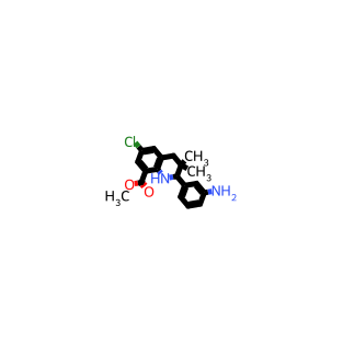 COC(=O)c1cc(Cl)cc2c1NC(c1cccc(N)c1)C(C)(C)C2